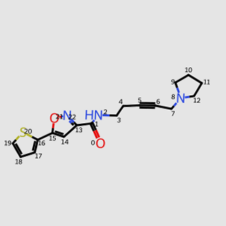 O=C(NCCC#CCN1CCCC1)c1cc(-c2cccs2)on1